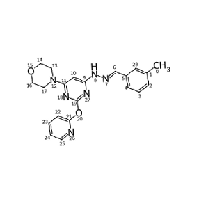 Cc1cccc(/C=N/Nc2cc(N3CCOCC3)nc(Oc3ccccn3)n2)c1